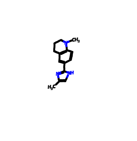 Cc1c[nH]c(-c2ccc3c(c2)CCCN3C)n1